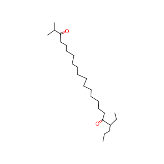 CCCC(CC)C(=O)CCCCCCCCCCCCCCC(=O)C(C)C